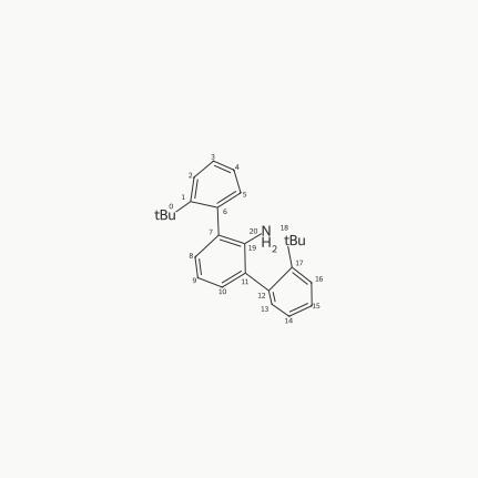 CC(C)(C)c1ccccc1-c1cccc(-c2ccccc2C(C)(C)C)c1N